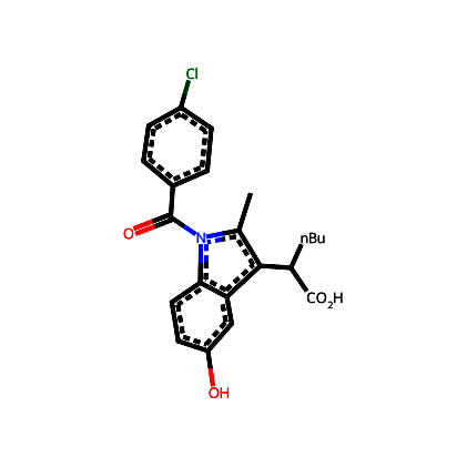 CCCCC(C(=O)O)c1c(C)n(C(=O)c2ccc(Cl)cc2)c2ccc(O)cc12